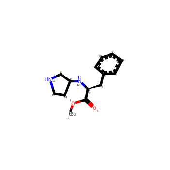 CC(C)(C)OC(=O)[C@H](Cc1ccccc1)NC1CCNC1